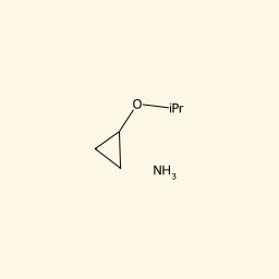 CC(C)OC1CC1.N